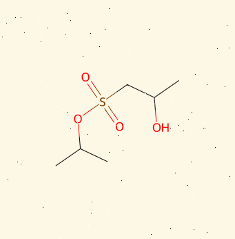 CC(O)CS(=O)(=O)OC(C)C